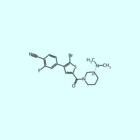 CN(C)[C@@H]1CCCN(C(=O)c2cc(-c3ccc(C#N)c(F)c3)c(Br)s2)C1